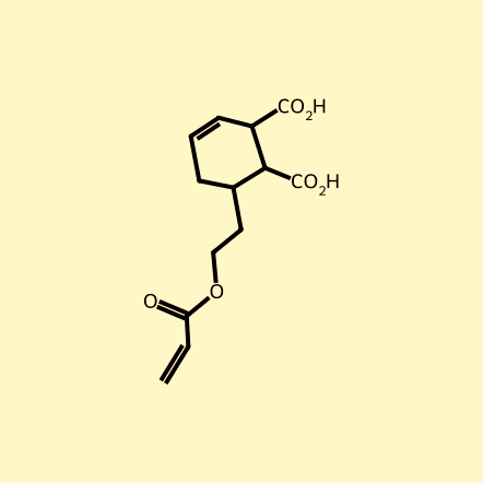 C=CC(=O)OCCC1CC=CC(C(=O)O)C1C(=O)O